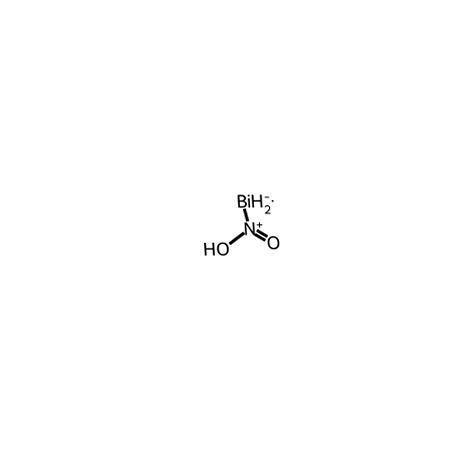 O=[N+](O)[BiH2-]